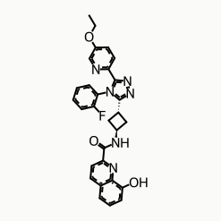 CCOc1ccc(-c2nnc([C@H]3C[C@H](NC(=O)c4ccc5cccc(O)c5n4)C3)n2-c2ccccc2F)nc1